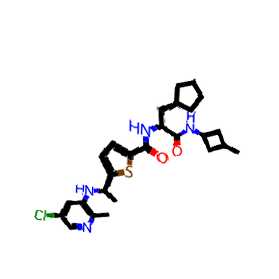 Cc1ncc(Cl)cc1NC(C)c1ccc(C(=O)NC(CC2CCCC2)C(=O)NC2CC(C)C2)s1